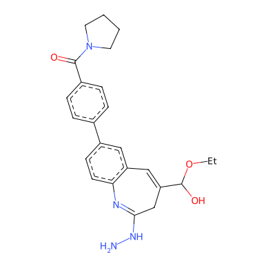 CCOC(O)C1=Cc2cc(-c3ccc(C(=O)N4CCCC4)cc3)ccc2N=C(NN)C1